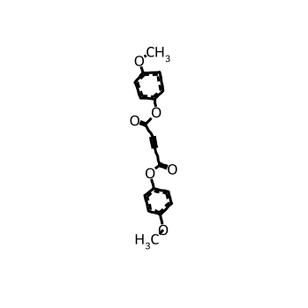 COc1ccc(OC(=O)C#CC(=O)Oc2ccc(OC)cc2)cc1